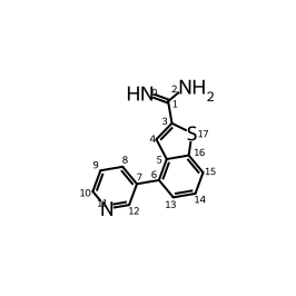 N=C(N)c1cc2c(-c3cccnc3)cccc2s1